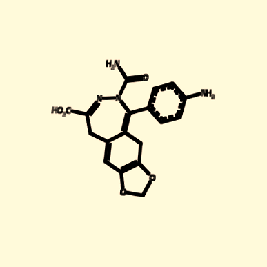 NC(=O)N1N=C(C(=O)O)CC2=CC3=C(CC2=C1c1ccc(N)cc1)OCO3